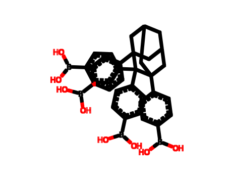 OB(O)c1ccc(C23CC4CC(C2)CC(c2ccc(B(O)O)cc2)(C4)C3(c2ccc(B(O)O)cc2)c2ccc(B(O)O)cc2)cc1